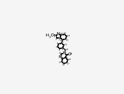 Cn1cc2c(-c3cccc(Cn4cnc5ccccc5c4=O)c3)cccc2n1